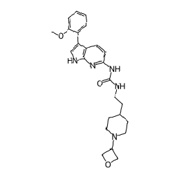 COc1ccccc1-c1c[nH]c2nc(NC(=O)NCCC3CCN(C4COC4)CC3)ccc12